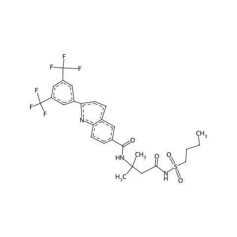 CCCCS(=O)(=O)NC(=O)CC(C)(C)NC(=O)c1ccc2nc(-c3cc(C(F)(F)F)cc(C(F)(F)F)c3)ccc2c1